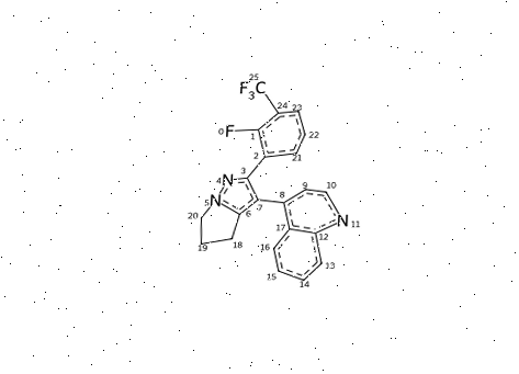 Fc1c(-c2nn3c(c2-c2ccnc4ccccc24)CCC3)cccc1C(F)(F)F